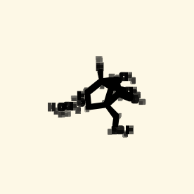 CC1(C)[C@@H]2CC[C@@]1(CS(=O)(=O)O)C(=O)C2.O.O.O